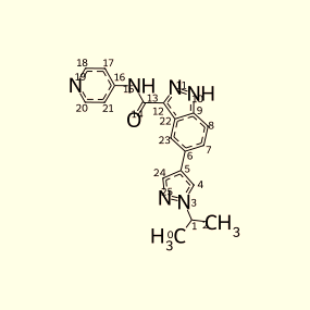 CC(C)n1cc(-c2ccc3[nH]nc(C(=O)Nc4ccncc4)c3c2)cn1